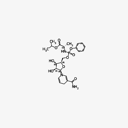 CC(C)OC(=O)[C@H](C)NP(=O)(OC[C@H]1O[C@@H](N2C=CCC(C(N)=O)=C2)[C@@H](O)[C@H]1O)Oc1ccccc1